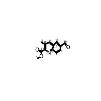 COC(=O)c1nc2ccc(C=O)cc2cc1C